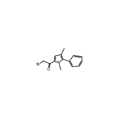 Cc1cc(C(=O)CBr)n(C)c1-c1ccccc1